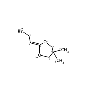 CC(C)C[C]=C1OCC(C)(C)CO1